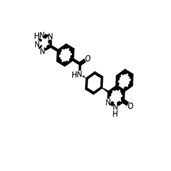 O=C(N[C@H]1CC[C@H](c2n[nH]c(=O)c3ccccc32)CC1)c1ccc(-c2nn[nH]n2)cc1